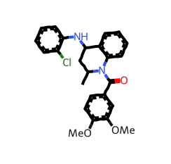 COc1ccc(C(=O)N2c3ccccc3C(Nc3ccccc3Cl)CC2C)cc1OC